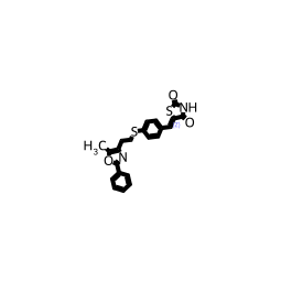 Cc1oc(-c2ccccc2)nc1CCSc1ccc(/C=C2\SC(=O)NC2=O)cc1